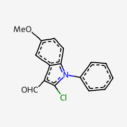 COc1ccc2c(c1)c(C=O)c(Cl)n2-c1ccccc1